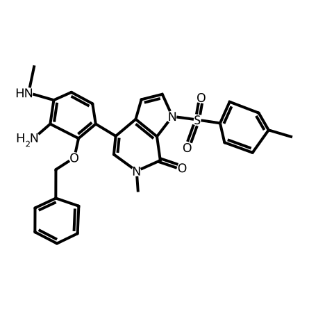 CNc1ccc(-c2cn(C)c(=O)c3c2ccn3S(=O)(=O)c2ccc(C)cc2)c(OCc2ccccc2)c1N